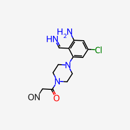 N=Cc1c(N)cc(Cl)cc1N1CCN(C(=O)CN=O)CC1